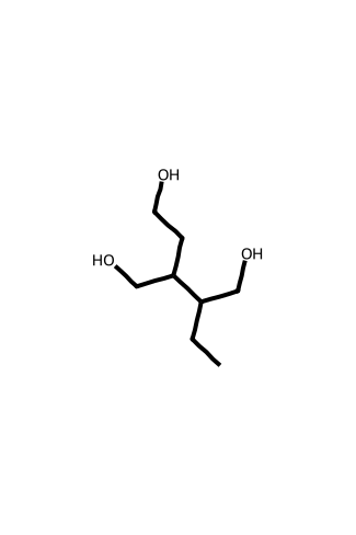 CCC(CO)C(CO)CCO